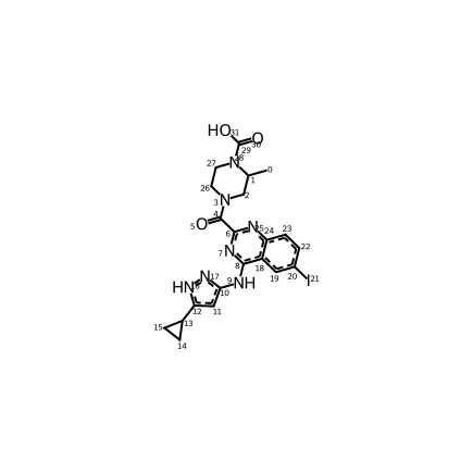 CC1CN(C(=O)c2nc(Nc3cc(C4CC4)[nH]n3)c3cc(I)ccc3n2)CCN1C(=O)O